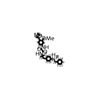 COc1cc(NC(=O)C(=O)NC(C)(C)Cc2ccc(NCc3ccccc3F)cc2)ccc1-c1cnco1